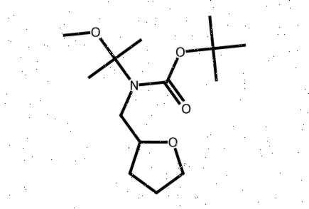 COC(C)(C)N(CC1CCCO1)C(=O)OC(C)(C)C